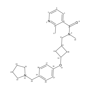 Cc1ncccc1C(=O)N(C)CC1CC(Oc2ccc(CN3CCCC3)cc2)C1